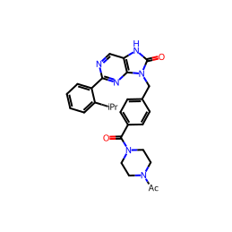 CC(=O)N1CCN(C(=O)c2ccc(Cn3c(=O)[nH]c4cnc(-c5ccccc5C(C)C)nc43)cc2)CC1